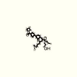 CCCN(CCCO)C(=O)C1=Cc2ccc(-c3ccc(C(=O)N4CCCC4)cc3)cc2N=C(CCCN(C)C)C1